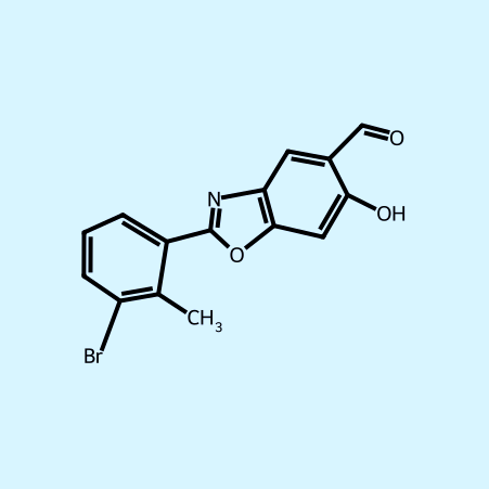 Cc1c(Br)cccc1-c1nc2cc(C=O)c(O)cc2o1